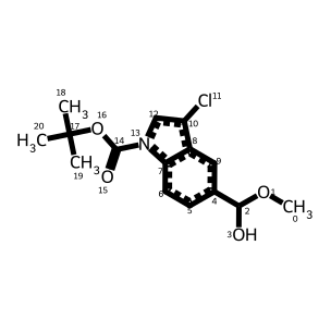 COC(O)c1ccc2c(c1)c(Cl)cn2C(=O)OC(C)(C)C